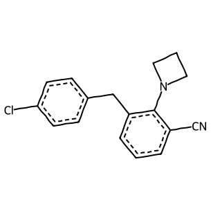 N#Cc1cccc(Cc2ccc(Cl)cc2)c1N1CCC1